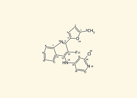 Cc1ccc(-c2nc3ccccc3c(Nc3ccnc(Cl)c3)c2F)o1